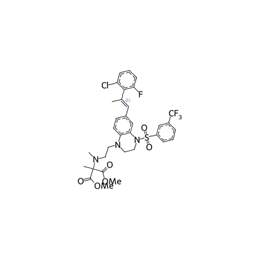 COC(=O)C(C)(C(=O)OC)N(C)CCN1CCN(S(=O)(=O)c2cccc(C(F)(F)F)c2)c2cc(/C=C(\C)c3c(F)cccc3Cl)ccc21